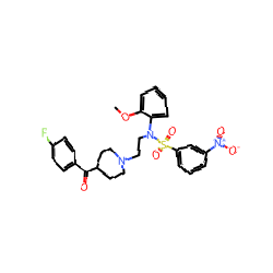 COc1ccccc1N(CCN1CCC(C(=O)c2ccc(F)cc2)CC1)S(=O)(=O)c1cccc([N+](=O)[O-])c1